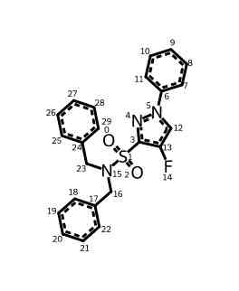 O=S(=O)(c1nn(-c2ccccc2)cc1F)N(Cc1ccccc1)Cc1ccccc1